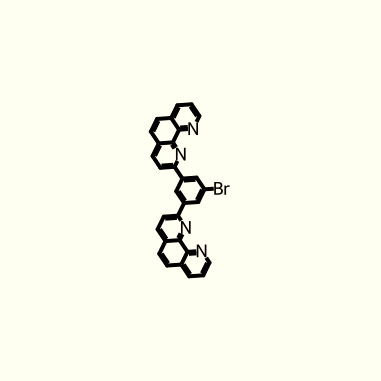 Brc1cc(-c2ccc3ccc4cccnc4c3n2)cc(-c2ccc3ccc4cccnc4c3n2)c1